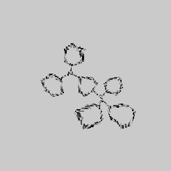 c1ccc(N(c2ccccc2)c2ccc(S(c3ccccc3)(c3ccccc3)c3ccccc3)cc2)cc1